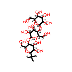 CC(C)(C)C1OC(CO)C(OC2OC(CO)C(OC3OC(CO)C(O)C(O)C3O)C(O)C2O)C(O)C1O